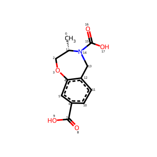 C[C@H]1COc2cc(C(=O)O)ccc2CN1C(=O)O